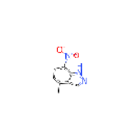 Cc1ccc([N+](=O)[O-])c2[nH]ncc12